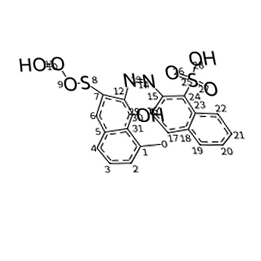 Cc1cccc2cc(SOOO)c(/N=N\c3ccc4ccccc4c3S(=O)(=O)O)c(O)c12